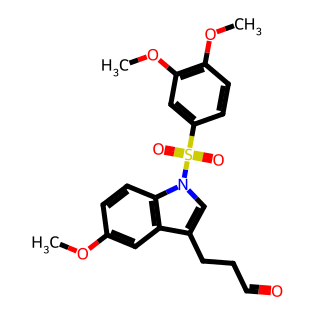 COc1ccc2c(c1)c(CCC=O)cn2S(=O)(=O)c1ccc(OC)c(OC)c1